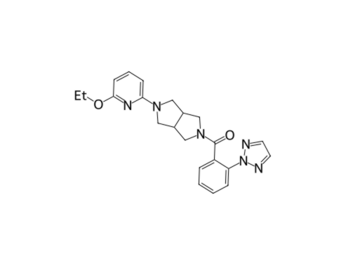 CCOc1cccc(N2CC3CN(C(=O)c4ccccc4-n4nccn4)CC3C2)n1